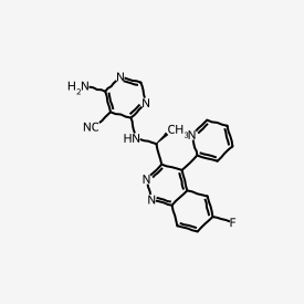 C[C@H](Nc1ncnc(N)c1C#N)c1nnc2ccc(F)cc2c1-c1ccccn1